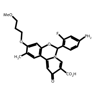 COCCCOc1cc2c(cc1C)-c1cc(=O)c(C(=O)O)cn1C(c1ccc(P)cc1F)O2